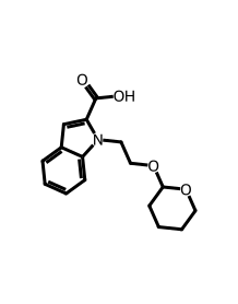 O=C(O)c1cc2ccccc2n1CCOC1CCCCO1